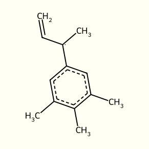 C=C[C](C)c1cc(C)c(C)c(C)c1